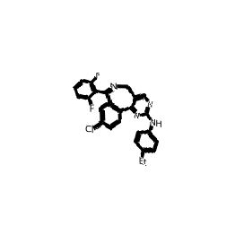 CCc1ccc(Nc2ncc3c(n2)-c2ccc(Cl)cc2C(c2c(F)cccc2F)=NC3)cc1